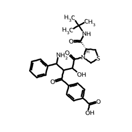 CC(C)(C)NC(=O)[C@@H]1CSCN1C(=O)C(O)C(C(=O)c1ccc(C(=O)O)cc1)C(N)c1ccccc1